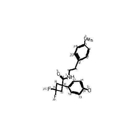 COc1ccc(CCNC(=O)C2(c3ccc(Cl)cc3)CC(F)(F)C2)cc1